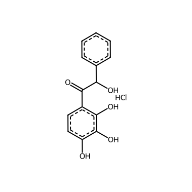 Cl.O=C(c1ccc(O)c(O)c1O)C(O)c1ccccc1